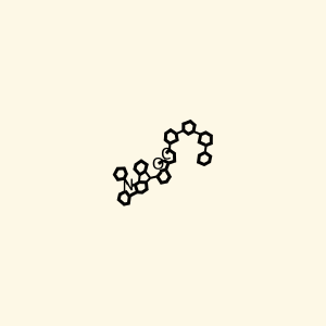 c1ccc(-c2cccc(-c3cccc(-c4cccc(-c5ccc6c(c5)oc5c(C7c8ccccc8-c8c7ccc7c9ccccc9n(-c9ccccc9)c87)cccc56)c4)c3)c2)cc1